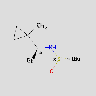 CC[C@H](N[S@@+]([O-])C(C)(C)C)C1(C)CC1